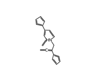 C=C=C(CN/C=C\C(=C/C=C)C1=C=CC=C1)C1=C=CC=C1